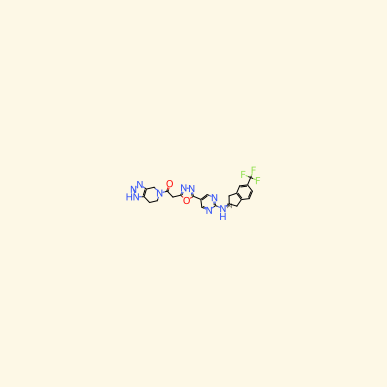 O=C(Cc1nnc(-c2cnc(N[C@@H]3Cc4ccc(C(F)(F)F)cc4C3)nc2)o1)N1CCc2[nH]nnc2C1